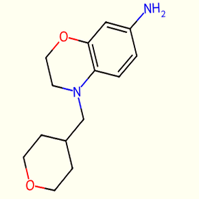 Nc1ccc2c(c1)OCCN2CC1CCOCC1